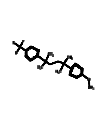 COc1ccc(C(C)(C)CCC(C)(C)c2ccc(C(F)(F)F)cc2)cc1